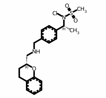 C[C@H](c1ccc(CNC[C@H]2CCc3ccccc3O2)cc1)N(Cl)S(C)(=O)=O